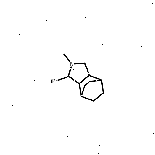 CC(C)C1C2C3CCC(CC3)C2CN1C